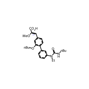 CCCCNC(=O)N(CC)c1cccc(-c2ccc(/C=C(\OC)C(=O)O)cc2OCCCC)c1